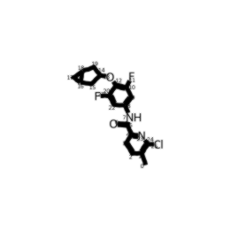 Cc1ccc(C(=O)Nc2cc(F)c(OC3CC4CC4C3)c(F)c2)nc1Cl